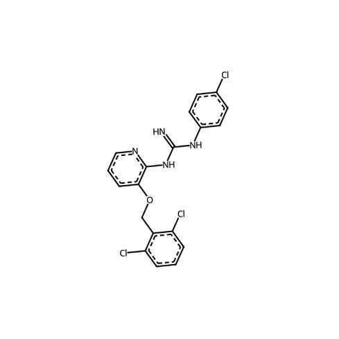 N=C(Nc1ccc(Cl)cc1)Nc1ncccc1OCc1c(Cl)cccc1Cl